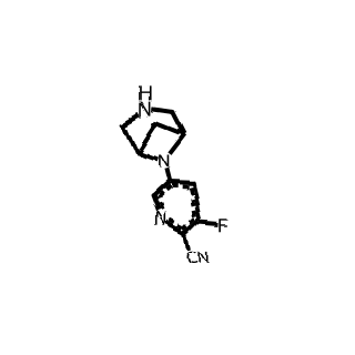 N#Cc1ncc(N2C3CNCC2C3)cc1F